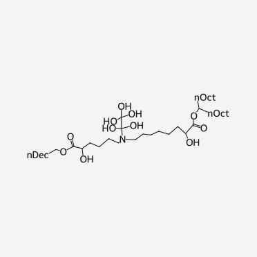 CCCCCCCCCCCOC(=O)C(O)CCCCN(CCCCCCC(O)C(=O)OC(CCCCCCCC)CCCCCCCC)C(O)(O)C(O)(O)O